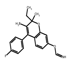 BC1=C(c2ccc(F)cc2)c2ccc(OC=N)cc2OC1(C)CC